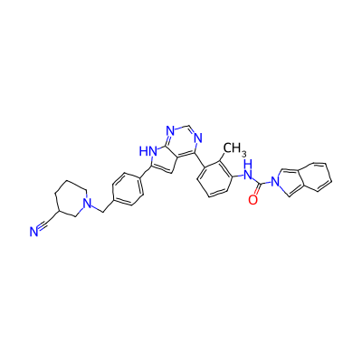 Cc1c(NC(=O)n2cc3ccccc3c2)cccc1-c1ncnc2[nH]c(-c3ccc(CN4CCCC(C#N)C4)cc3)cc12